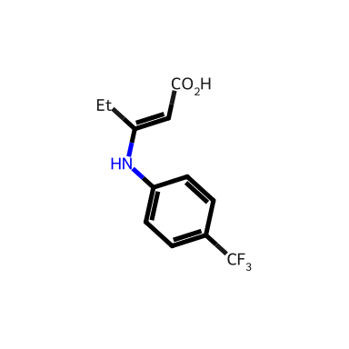 CCC(=CC(=O)O)Nc1ccc(C(F)(F)F)cc1